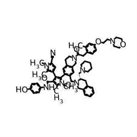 Cc1cc(OCCN2CCOCC2)ccc1CC(=O)N1CCc2cc(-c3c(-c4cc(C#N)n(C)c4C)c(C(=O)Nc4ccc(O)cc4)c(C)n3C)c(C(=O)N3Cc4ccccc4C[C@H]3CN3CCCCC3)cc2C1